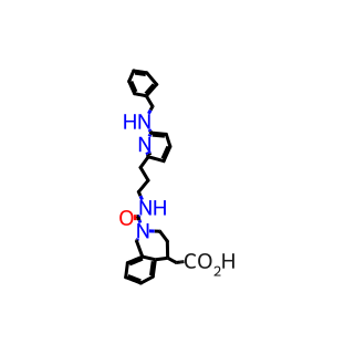 O=C(O)CC1CCN(C(=O)NCCCc2cccc(NCc3ccccc3)n2)Cc2ccccc21